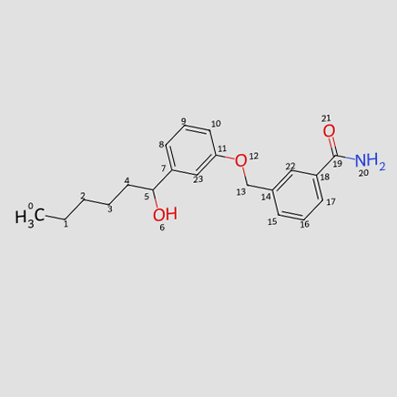 CCCCCC(O)c1cccc(OCc2cccc(C(N)=O)c2)c1